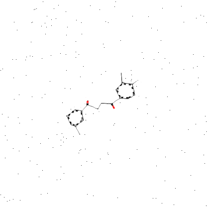 Cc1cccc(C(=O)CCC(=O)c2ccc(C)c(C)c2)c1